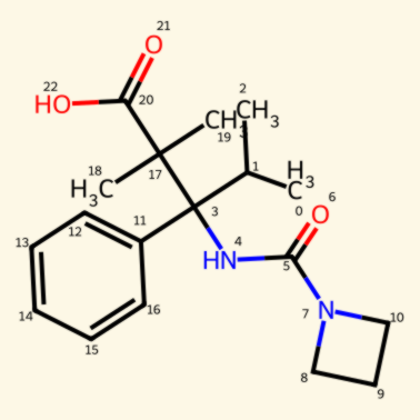 CC(C)C(NC(=O)N1CCC1)(c1ccccc1)C(C)(C)C(=O)O